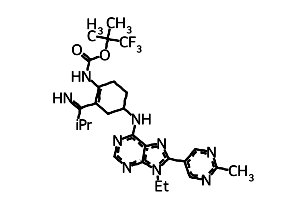 CCn1c(-c2cnc(C)nc2)nc2c(NC3CCC(NC(=O)OC(C)(C)C(F)(F)F)=C(C(=N)C(C)C)C3)ncnc21